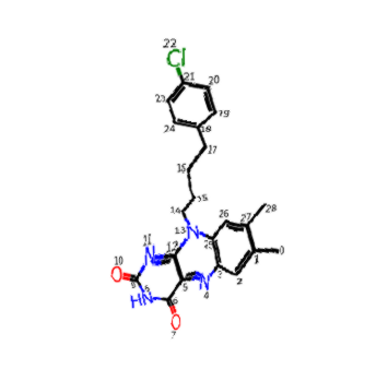 Cc1cc2nc3c(=O)[nH]c(=O)nc-3n(CCCCc3ccc(Cl)cc3)c2cc1C